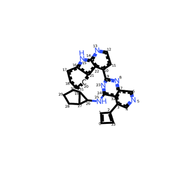 C1=CC(c2cncc3nc(-c4ccnc5[nH]c6ccccc6c45)nc(NC4C5CCCC54)c23)=C1